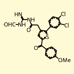 COc1ccc(C(=O)c2cc(CC(=O)NC(=N)N[C]=O)c(-c3ccc(Cl)c(Cl)c3)s2)cc1